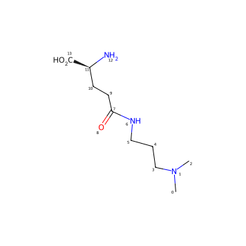 CN(C)CCCNC(=O)CC[C@H](N)C(=O)O